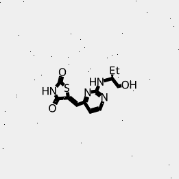 CC[C@@H](CO)Nc1nccc(/C=C2\SC(=O)NC2=O)n1